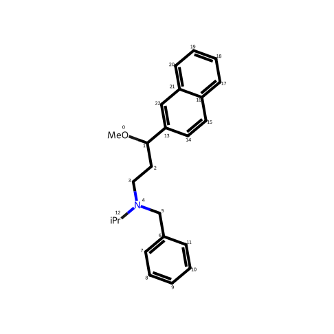 COC(CCN(Cc1ccccc1)C(C)C)c1ccc2ccccc2c1